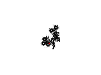 C#CCON=C(C(=O)NC1C(=O)N2CC(CCl)(C(=O)OC(c3ccccc3)c3ccccc3)CS[C@H]12)c1csc(NC(c2ccccc2)(c2ccccc2)c2ccccc2)n1